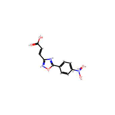 O=C(O)C=Cc1noc(-c2ccc([N+](=O)[O-])cc2)n1